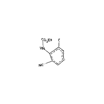 CCOC(=O)Nc1c(F)c[c]cc1C#N